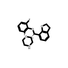 Fc1cccc(F)c1OC(c1cccc2c1OCC2)[C@@H]1CNCCO1